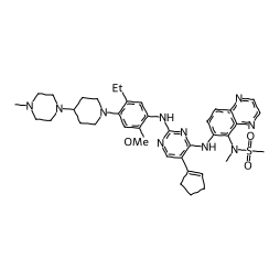 CCc1cc(Nc2ncc(C3=CCCC3)c(Nc3ccc4nccnc4c3N(C)S(C)(=O)=O)n2)c(OC)cc1N1CCC(N2CCN(C)CC2)CC1